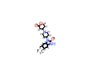 Cc1cc2c(cc1C(F)(F)F)[nH]c(=O)n2C1CCN(C2CCOC(=O)C2)CC1